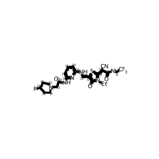 CCn1c(=C(C#N)C(=O)NCC(F)(F)F)sc(=CNc2cccc(NC(=O)CN3CCC(F)CC3)n2)c1=O